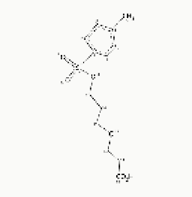 Cc1ccc(S(=O)(=O)OCCCOCCC(=O)O)cc1